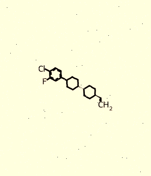 C=C[C@H]1CC[C@H](C2CCC(c3ccc(Cl)c(F)c3)CC2)CC1